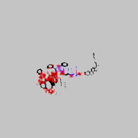 CC(=O)O[C@H]1C(=O)[C@@]2(C)[C@H]([C@H](OC(=O)c3ccccc3)[C@]3(O)C[C@H](OC(=O)[C@H](OC(=O)CCC(=O)NCC(=O)O[C@H]4CC[C@@]5(C)C(=CCC6C5CC[C@@]5(C)C6CC[C@@H]5[C@H](C)CCCC(C)C)C4)[C@@H](NC(=O)c4ccccc4)c4ccccc4)C(C)=C1C3(C)C)[C@]1(OC(C)=O)CO[C@@H]1C[C@@H]2O